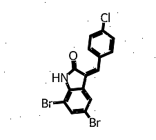 O=C1Nc2c(Br)cc(Br)cc2C1=Cc1ccc(Cl)cc1